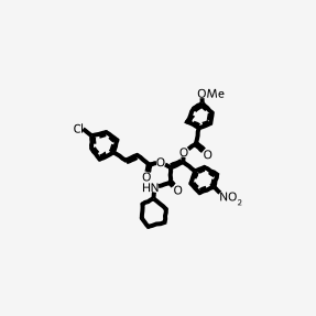 COc1ccc(C(=O)O/C(=C(\OC(=O)/C=C/c2ccc(Cl)cc2)C(=O)NC2CCCCC2)c2ccc([N+](=O)[O-])cc2)cc1